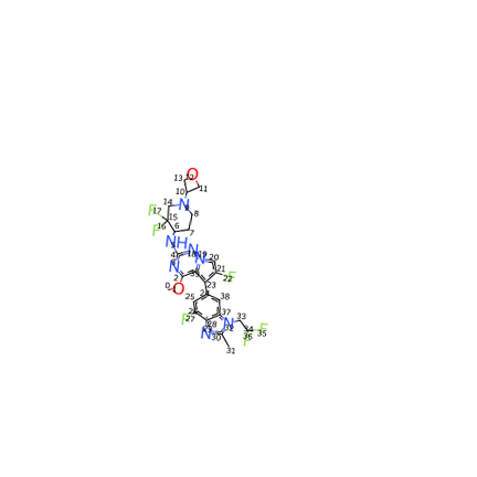 COc1nc(N[C@@H]2CCN(C3COC3)CC2(F)F)nn2cc(F)c(-c3cc(F)c4nc(C)n(CC(F)F)c4c3)c12